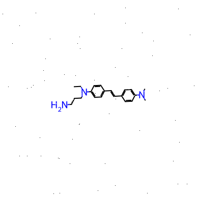 CCN(CCCN)c1ccc(/C=C/c2ccc(N(C)C)cc2)cc1